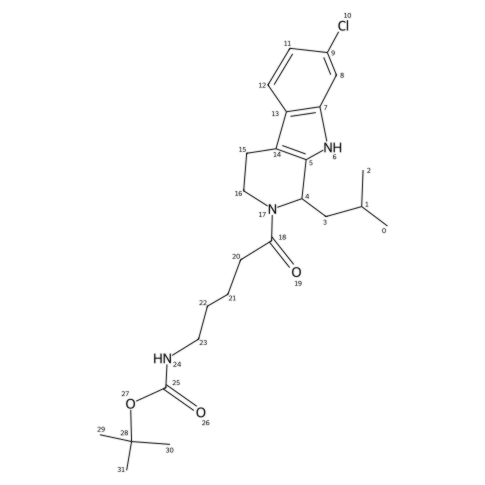 CC(C)CC1c2[nH]c3cc(Cl)ccc3c2CCN1C(=O)CCCCNC(=O)OC(C)(C)C